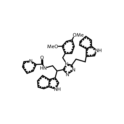 COc1ccc(Cn2c(CCc3c[nH]c4ccccc34)nnc2C(CNC(=O)c2ccccn2)c2c[nH]c3ccccc23)c(OC)c1